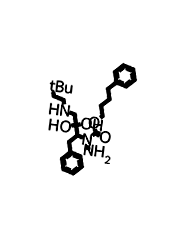 CC(C)(C)CCNCC(O)(O)C(Cc1ccccc1)N(N)C(=O)OCCCCc1ccccc1